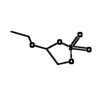 CCOC1COS(=O)(=O)O1